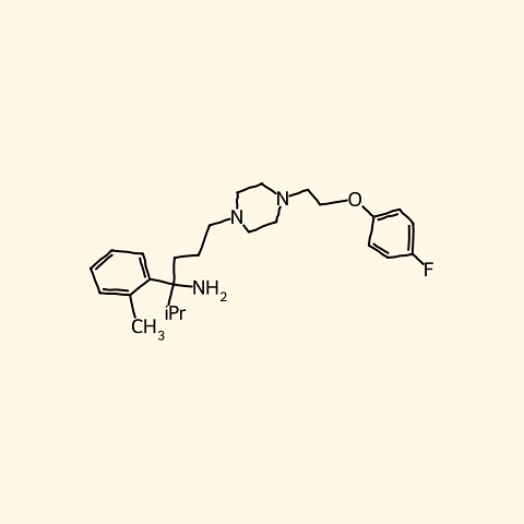 Cc1ccccc1C(N)(CCCN1CCN(CCOc2ccc(F)cc2)CC1)C(C)C